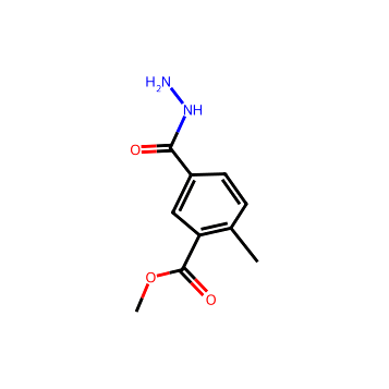 COC(=O)c1cc(C(=O)NN)ccc1C